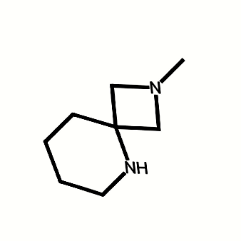 CN1CC2(CCCCN2)C1